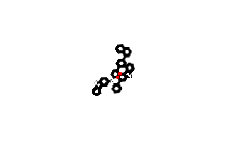 c1ccc(N(c2ccc(-c3ccc(-c4cccc5ccccc45)cc3)cc2)c2ccc3oc4ccccc4c3c2)c(-c2ccc3c(c2)oc2ccccc23)c1